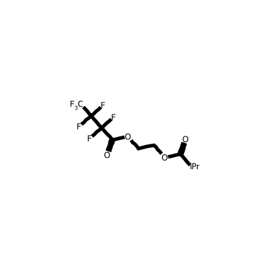 CC(C)C(=O)OCCOC(=O)C(F)(F)C(F)(F)C(F)(F)F